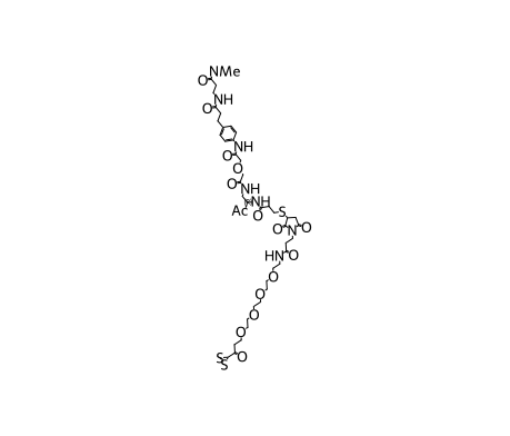 CNC(=O)CCNC(=O)CCc1ccc(NC(=O)COCC(=O)NC[C@@H](NC(=O)CCSC2CC(=O)N(CCC(=O)NCCOCCOCCOCCOCCC(=O)C3SS3)C2=O)C(C)=O)cc1